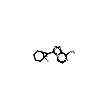 Nc1nccn2c(C3[C@H]4CCCC[C@@H]34)nnc12